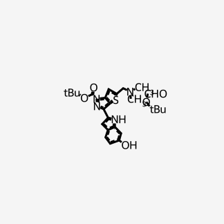 CC(C)(C)OC=O.CN(C)Cc1cc2c(s1)c(-c1cc3ccc(O)cc3[nH]1)nn2C(=O)OC(C)(C)C